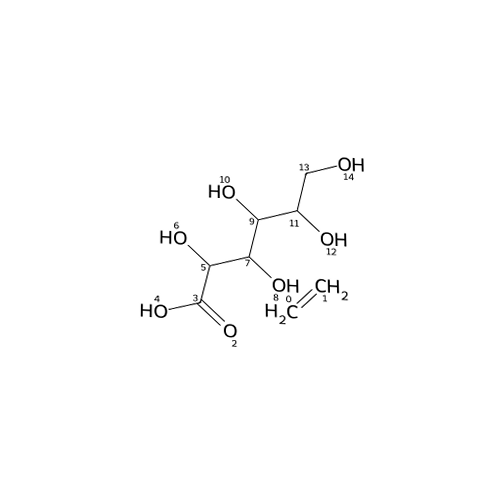 C=C.O=C(O)C(O)C(O)C(O)C(O)CO